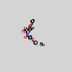 CCCCc1ccc(COc2ccc(C(=O)N(CCC(=O)OC)Cc3ccc(OCc4ccccc4)cc3)cc2)cc1